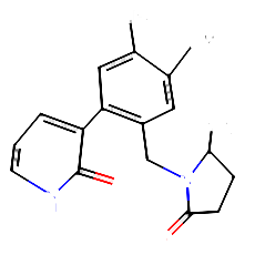 COc1cc(CN2C(=O)CCC2C(=O)O)c(-c2ccc[nH]c2=O)cc1C(C)(C)C